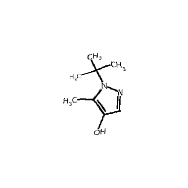 Cc1c(O)cnn1C(C)(C)C